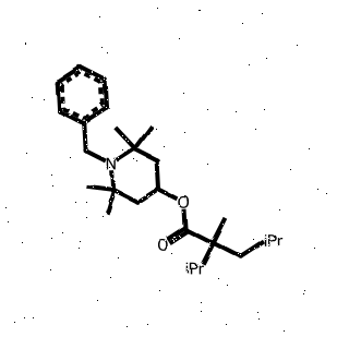 CC(C)CC(C)(C(=O)OC1CC(C)(C)N(Cc2ccccc2)C(C)(C)C1)C(C)C